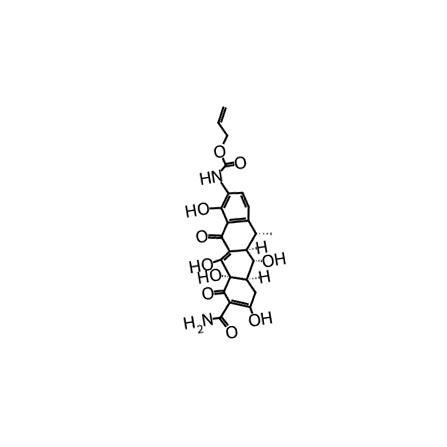 C=CCOC(=O)Nc1ccc2c(c1O)C(=O)C1=C(O)[C@]3(O)C(=O)C(C(N)=O)=C(O)C[C@@H]3[C@@H](O)[C@@H]1[C@H]2C